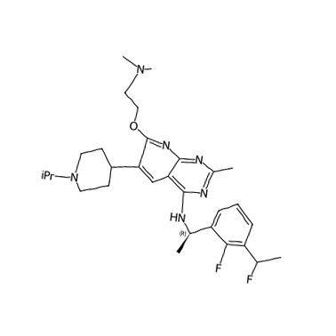 Cc1nc(N[C@H](C)c2cccc(C(C)F)c2F)c2cc(C3CCN(C(C)C)CC3)c(OCCN(C)C)nc2n1